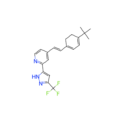 CC(C)(C)C1=CC=C(/C=C/c2ccnc(-c3cc(C(F)(F)F)n[nH]3)c2)CC1